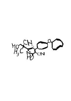 CC(C)(CO)c1cc(-c2ccc(Oc3ccccc3)cc2)c(C#N)c(=O)[nH]1